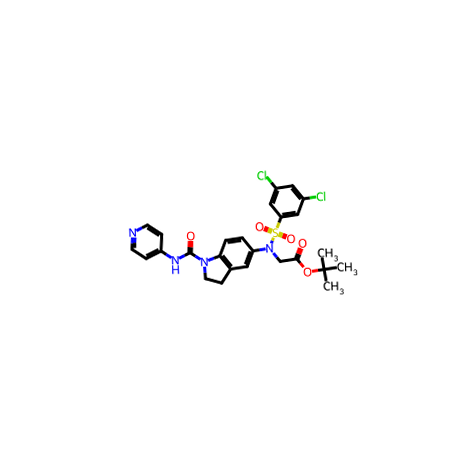 CC(C)(C)OC(=O)CN(c1ccc2c(c1)CCN2C(=O)Nc1ccncc1)S(=O)(=O)c1cc(Cl)cc(Cl)c1